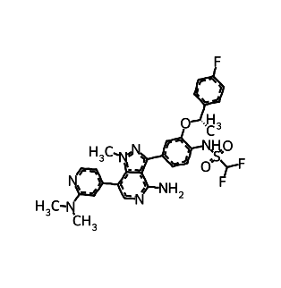 C[C@H](Oc1cc(-c2nn(C)c3c(-c4ccnc(N(C)C)c4)cnc(N)c23)ccc1NS(=O)(=O)C(F)F)c1ccc(F)cc1